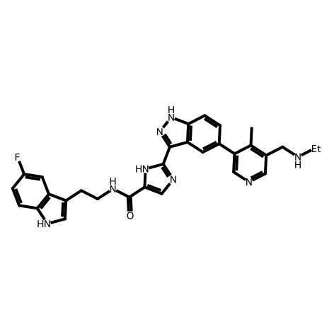 CCNCc1cncc(-c2ccc3[nH]nc(-c4ncc(C(=O)NCCc5c[nH]c6ccc(F)cc56)[nH]4)c3c2)c1C